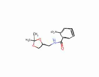 CC1(C)OCC(CNC(=O)c2ccccc2[N+](=O)[O-])O1